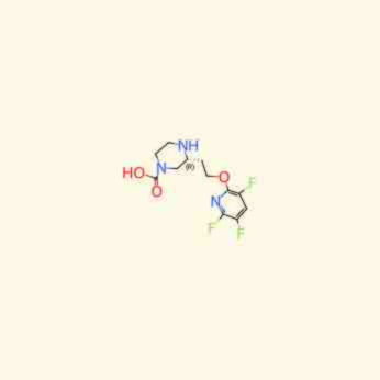 O=C(O)N1CCN[C@H](CCOc2nc(F)c(F)cc2F)C1